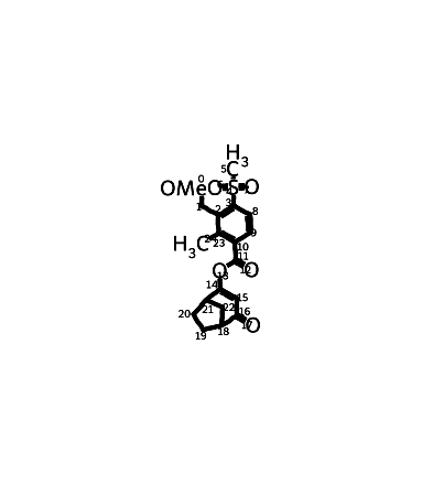 COCc1c(S(C)(=O)=O)ccc(C(=O)OC2=CC(=O)C3CCC2C3)c1C